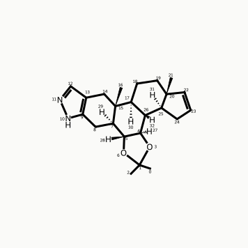 CC1(C)O[C@H]2[C@H](O1)[C@H]1Cc3[nH]ncc3C[C@]1(C)[C@H]1CC[C@]3(C)C=CC[C@H]3[C@H]21